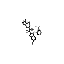 Cn1ccc2cc(NC(=O)c3cc4cc(F)ccc4n3Cc3ccccc3C(F)(F)F)cnc21